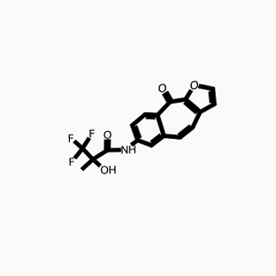 CC(O)(C(=O)Nc1ccc2c(=O)c3occc3ccc2c1)C(F)(F)F